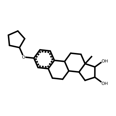 CC12CCC3c4ccc(OC5CCCC5)cc4CCC3C1CC(O)C2O